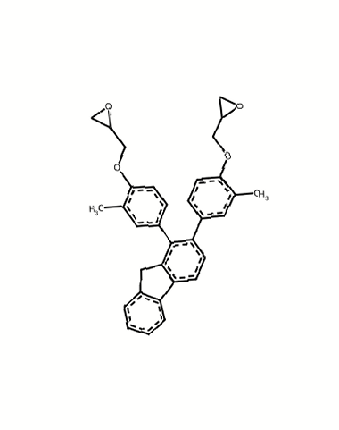 Cc1cc(-c2ccc3c(c2-c2ccc(OCC4CO4)c(C)c2)Cc2ccccc2-3)ccc1OCC1CO1